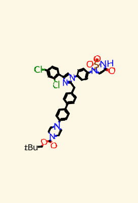 CC(C)(C)COC(=O)N1CCN(c2ccc(-c3ccc(Cc4nc(-c5ccc(Cl)cc5Cl)cn4-c4ccc(N5CC(=O)NS5(=O)=O)cc4)cc3)cc2)CC1